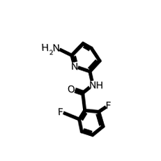 Nc1cccc(NC(=O)c2c(F)cccc2F)n1